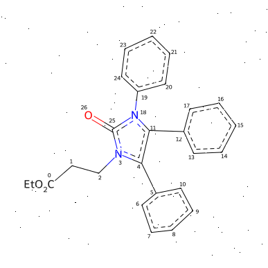 CCOC(=O)CCn1c(-c2ccccc2)c(-c2ccccc2)n(-c2ccccc2)c1=O